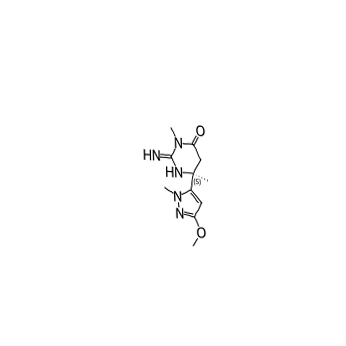 COc1cc([C@]2(C)CC(=O)N(C)C(=N)N2)n(C)n1